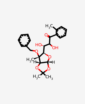 Cc1ccccc1C(=O)C(O)[C@@H](O)[C@H]1O[C@@H]2OC(C)(C)O[C@@H]2[C@]1(C)OCc1ccccc1